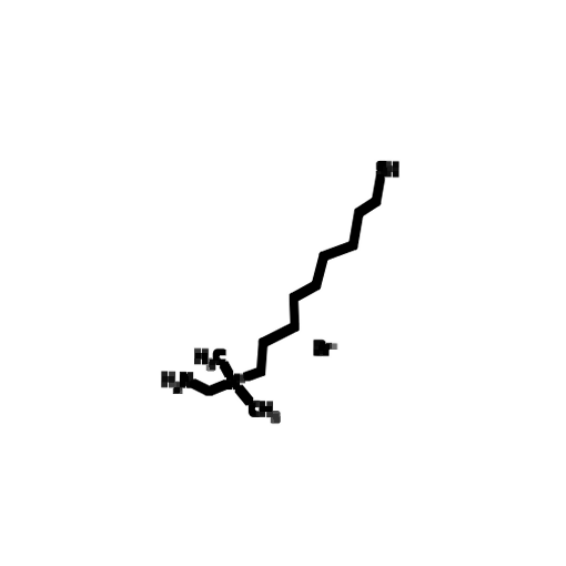 C[N+](C)(CN)CCCCCCCCCS.[Br-]